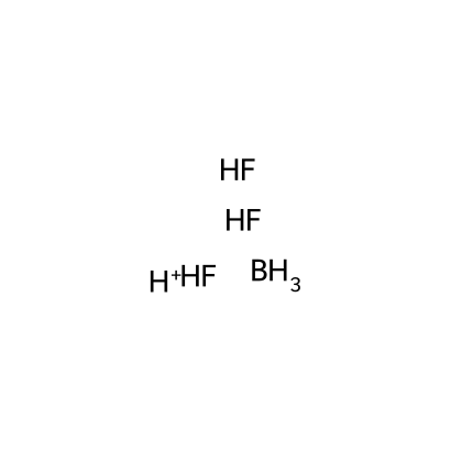 B.F.F.F.[H+]